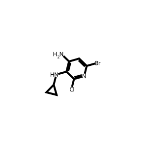 Nc1cc(Br)nc(Cl)c1NC1CC1